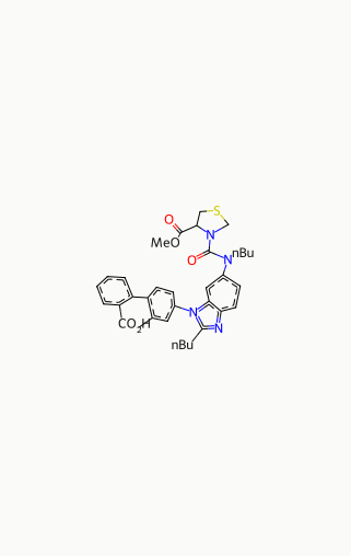 CCCCc1nc2ccc(N(CCCC)C(=O)N3CSCC3C(=O)OC)cc2n1-c1ccc(-c2ccccc2C(=O)O)c(C)c1